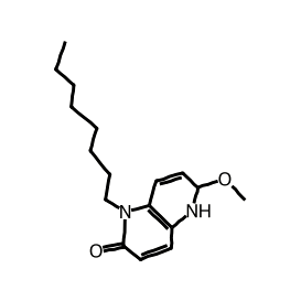 CCCCCCCCn1c2c(ccc1=O)NC(OC)C=C2